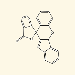 O=C1OC2(C3=Cc4ccccc4C3Oc3ccccc32)c2ccccc21